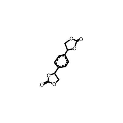 O=C1OCC(c2ccc(C3COC(=O)O3)cc2)O1